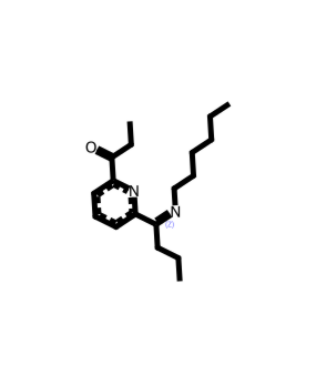 CCCCCC/N=C(/CCC)c1cccc(C(=O)CC)n1